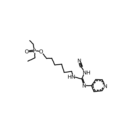 CCP(=O)(CC)OCCCCCCNC(=Nc1ccncc1)NC#N